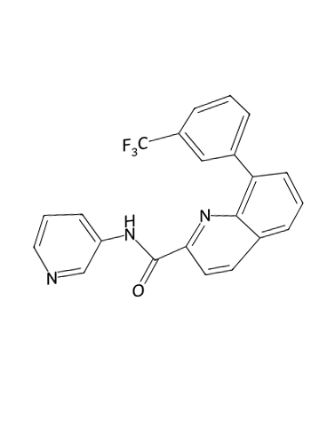 O=C(Nc1cccnc1)c1ccc2cccc(-c3cccc(C(F)(F)F)c3)c2n1